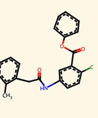 Cc1ccccc1CC(=O)Nc1ccc(Cl)c(C(=O)Oc2ccccc2)c1